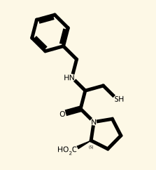 O=C(O)[C@@H]1CCCN1C(=O)C(CS)NCc1ccccc1